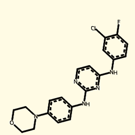 Fc1ccc(Nc2ccnc(Nc3ccc(N4CCOCC4)cc3)n2)cc1Cl